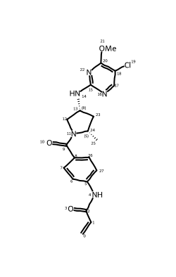 C=CC(=O)Nc1ccc(C(=O)N2C[C@H](Nc3ncc(Cl)c(OC)n3)C[C@@H]2C)cc1